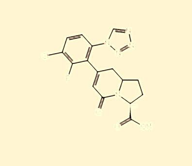 O=C(O)[C@@H]1CCC2CC(c3c(-n4cnnn4)ccc(Cl)c3F)=CC(=O)N21